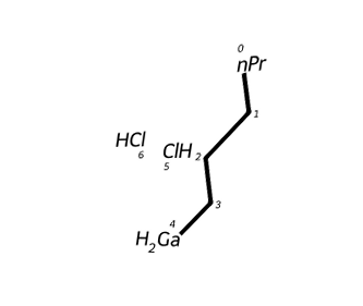 CCCCC[CH2][GaH2].Cl.Cl